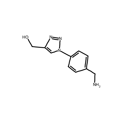 NCc1ccc(-n2cc(CO)nn2)cc1